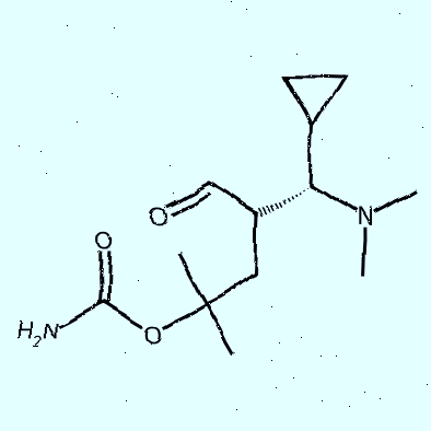 CN(C)[C@H](C(C=O)CC(C)(C)OC(N)=O)C1CC1